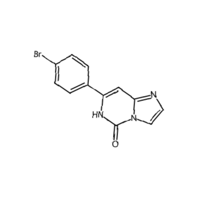 O=c1[nH]c(-c2ccc(Br)cc2)cc2nccn12